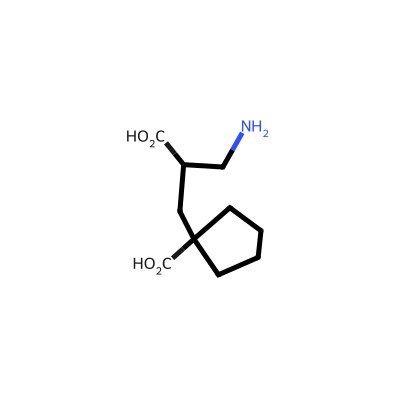 NCC(CC1(C(=O)O)CCCC1)C(=O)O